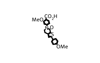 COc1ccc(-c2cc3c(s2)C(=O)N(c2ccc(C(=O)O)c(OC)c2)CC3)cc1